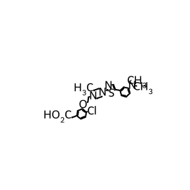 C[C@H]1CN(c2ncc(-c3cccc(N(C)C)c3)s2)CCN1CCOc1cc(CC(=O)O)ccc1Cl